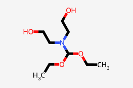 CCO[C](OCC)N(CCO)CCO